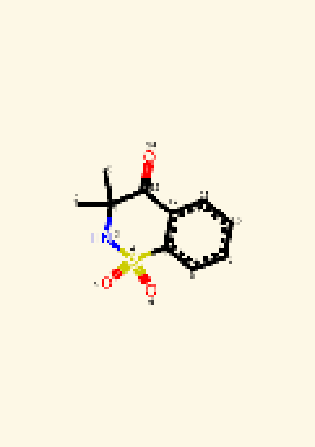 CC1(C)NS(=O)(=O)c2ccccc2C1=O